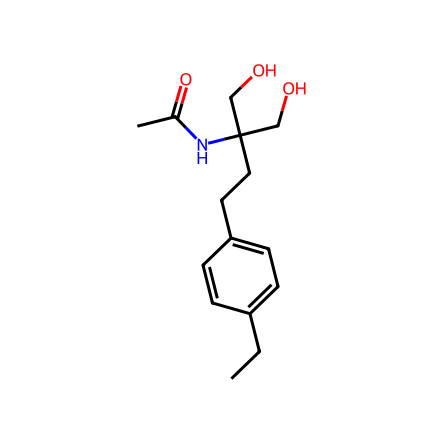 CCc1ccc(CCC(CO)(CO)NC(C)=O)cc1